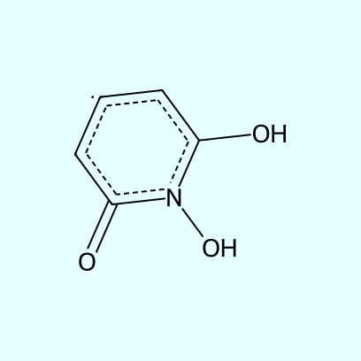 O=c1c[c]cc(O)n1O